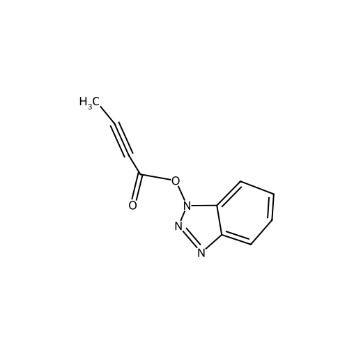 CC#CC(=O)On1nnc2ccccc21